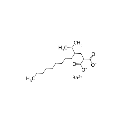 CCCCCCCCCC(CC(C(=O)[O-])C(=O)[O-])C(C)C.[Ba+2]